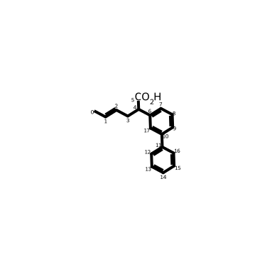 CC=CCC(C(=O)O)c1cccc(-c2ccccc2)c1